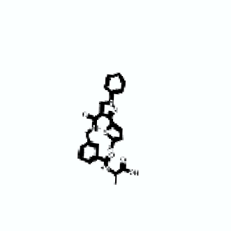 C[C@@H](NC(=O)c1cccc(CNC(=O)c2cn(-c3ccccc3)nc2-c2ccc(Cl)s2)c1)C(=O)O